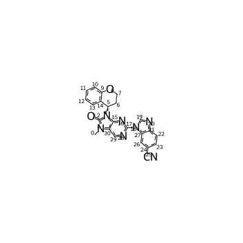 Cn1c(=O)n([C@@H]2CCOc3ccccc32)c2nc(-n3cnc4ccc(C#N)cc43)ncc21